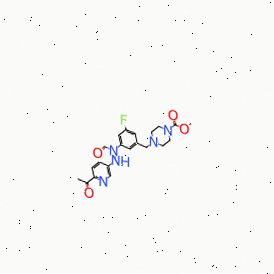 COC(=O)N1CCN(Cc2cc(F)cc(N(C=O)Nc3ccc(C(C)=O)nc3)c2)CC1